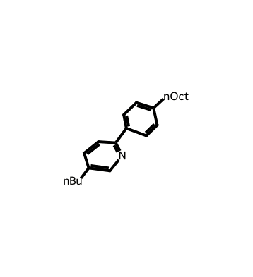 CCCCCCCCc1ccc(-c2ccc(CCCC)cn2)cc1